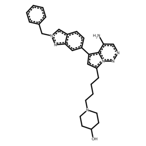 Nc1cnnn2c(CCCCN3CCC(O)CC3)cc(-c3ccc4cn(Cc5ccccc5)nc4c3)c12